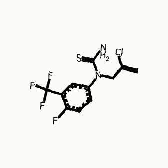 C=C(Cl)CN(C(N)=S)c1ccc(F)c(C(F)(F)F)c1